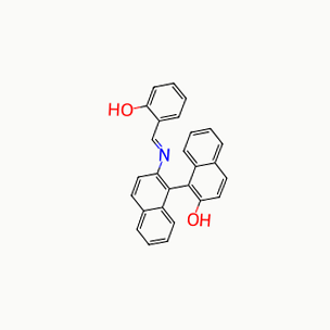 Oc1ccccc1/C=N/c1ccc2ccccc2c1-c1c(O)ccc2ccccc12